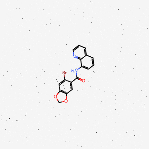 O=C(Nc1cccc2cccnc12)c1cc2c(cc1Br)OCO2